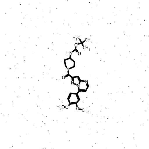 COc1ccc(-c2ccnc3cc(C(=O)N4CCC(NC(=O)OC(C)(C)C)CC4)nn23)cc1OC